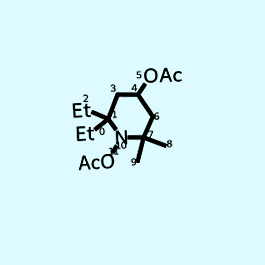 CCC1(CC)CC(OC(C)=O)CC(C)(C)N1OC(C)=O